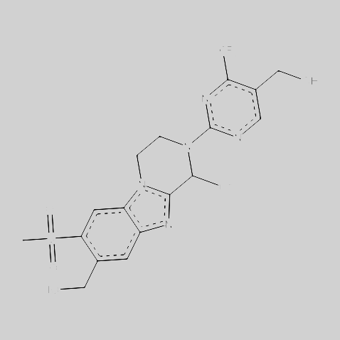 CC(C)C1c2nc3cc(CO)c(S(C)(=O)=O)cc3n2CCN1c1ncc(CO)c(C(F)(F)F)n1